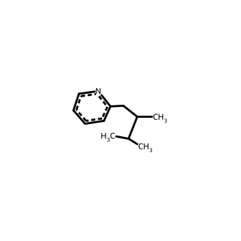 CC(C)C(C)Cc1ccccn1